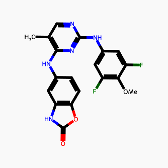 COc1c(F)cc(Nc2ncc(C)c(Nc3ccc4oc(=O)[nH]c4c3)n2)cc1F